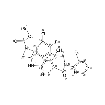 CC(C)(C)OC(=O)N1CC(Nc2ncc3c(n2)C(C)(c2cccc(Cl)c2F)CN(c2ncccc2F)C3=O)C1